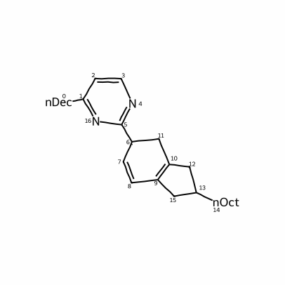 CCCCCCCCCCc1ccnc([C]2C=CC3=C(C2)CC(CCCCCCCC)C3)n1